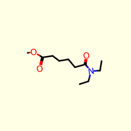 CCN(CC)C(=O)CCCCC(=O)OC